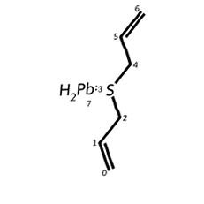 C=CCSCC=C.[PbH2]